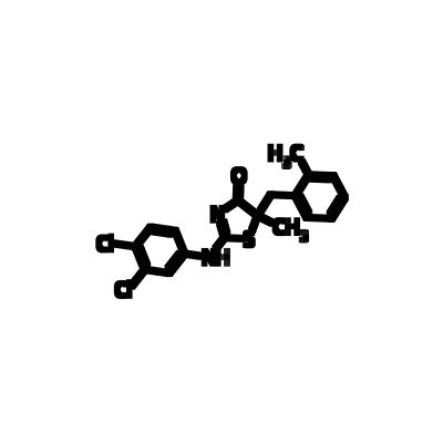 Cc1ccccc1CC1(C)SC(Nc2ccc(Cl)c(Cl)c2)=NC1=O